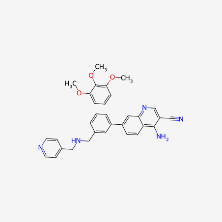 COc1cccc(OC)c1OC.N#Cc1cnc2cc(-c3cccc(CNCc4ccncc4)c3)ccc2c1N